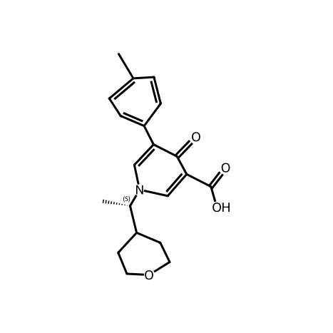 Cc1ccc(-c2cn([C@@H](C)C3CCOCC3)cc(C(=O)O)c2=O)cc1